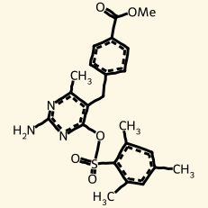 COC(=O)c1ccc(Cc2c(C)nc(N)nc2OS(=O)(=O)c2c(C)cc(C)cc2C)cc1